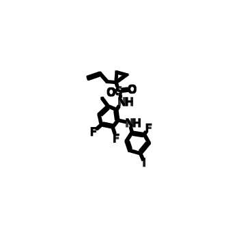 C=CCC1(S(=O)(=O)Nc2c(C)cc(F)c(F)c2Nc2ccc(I)cc2F)CC1